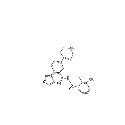 Cc1c([C@@H](C)Nc2nc3cncn3c3ccc(C4=CCNCC4)cc23)cccc1C(F)(F)F